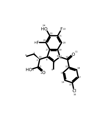 CC[C@H](C(=O)O)c1c(C)n(C(=O)c2ccc(Cl)cc2)c2cc(F)c(O)c(F)c12